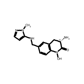 Cn1nccc1NCc1ccc2c(c1)C[C@H](N)C(=O)N2O